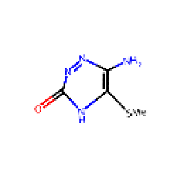 CSc1[nH]c(=O)nnc1N